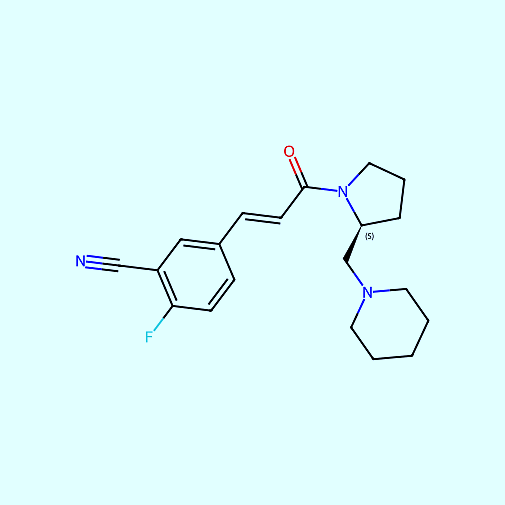 N#Cc1cc(C=CC(=O)N2CCC[C@H]2CN2CCCCC2)ccc1F